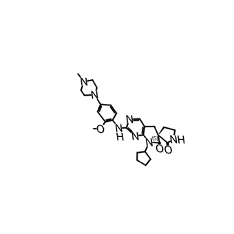 COc1cc(N2CCN(C)CC2)ccc1Nc1ncc2c(n1)N(C1CCCC1)C(=O)[C@]1(CCNC1=O)C2